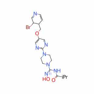 CC(C)C(=O)N/C(=N\O)N1CCN(c2ncc(OCC3C=CN=CC3Br)cn2)CC1